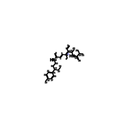 C=C/C(=C(/C)C=CC(=C)NCCC(CC)c1ccc(C)cc1)C(C)NC(=C)C(C)C